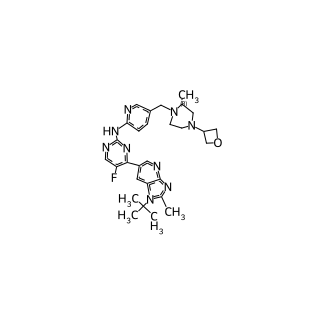 Cc1nc2ncc(-c3nc(Nc4ccc(CN5CCN(C6COC6)C[C@H]5C)cn4)ncc3F)cc2n1C(C)(C)C